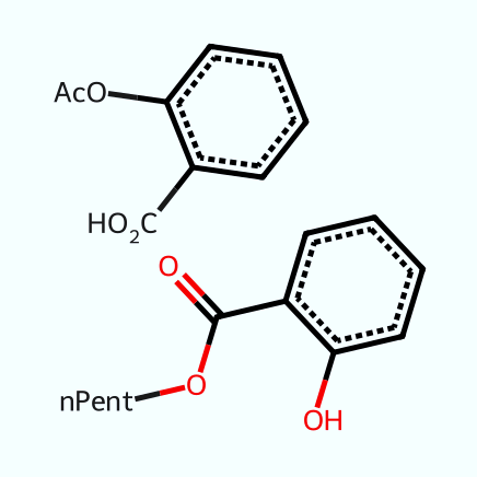 CC(=O)Oc1ccccc1C(=O)O.CCCCCOC(=O)c1ccccc1O